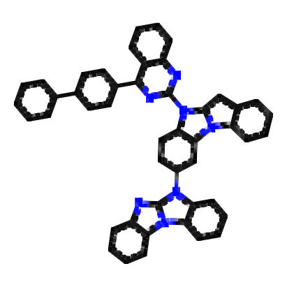 c1ccc(-c2ccc(-c3nc(-n4c5ccc(-n6c7ccccc7n7c8ccccc8nc67)cc5n5c6ccccc6cc45)nc4ccccc34)cc2)cc1